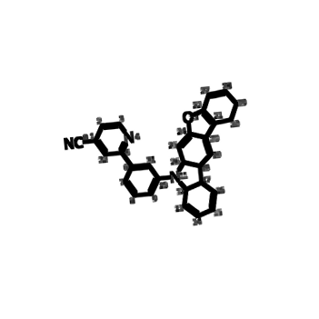 N#Cc1ccnc(-c2cccc(N3C4C=CC=CC4C4C=c5c6c(oc5=CC43)C=CCC6)c2)c1